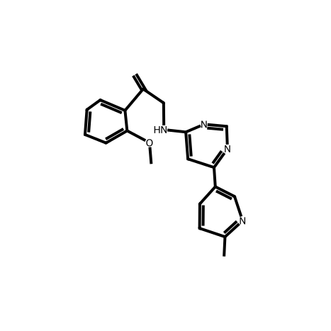 C=C(CNc1cc(-c2ccc(C)nc2)ncn1)c1ccccc1OC